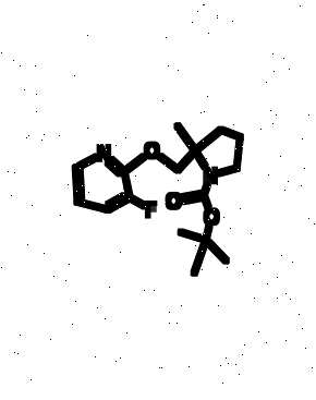 CC(C)(C)OC(=O)N1CCCC1(C)COc1ncccc1F